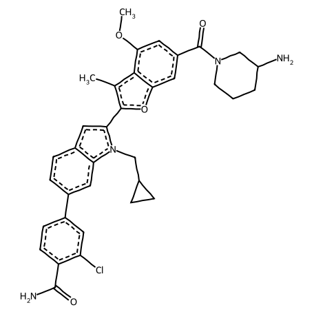 COc1cc(C(=O)N2CCCC(N)C2)cc2oc(-c3cc4ccc(-c5ccc(C(N)=O)c(Cl)c5)cc4n3CC3CC3)c(C)c12